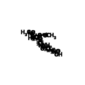 CCOCCOc1cc2c(ccn2C(=O)NC)cc1Oc1ccnc(NC(=O)c2ccc(C3CN(C(=O)O)C3)cc2)c1